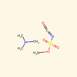 CN(C)C.O=C=NS(=O)(=O)O[SiH3]